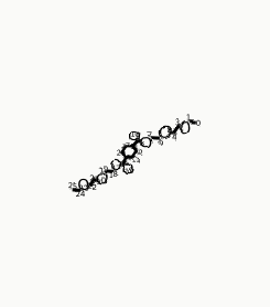 CCOCCOCCOC(=O)C1CCC(C(=O)OCCOCCOCC)CC1